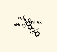 C=CCOc1c(OCCCCCC)c2ccc(NC(=O)c3ccccc3)cc2n(CCCCCC)c1=O